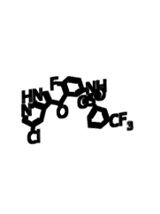 O=C(c1cc(NS(=O)(=O)c2cccc(C(F)(F)F)c2)ccc1F)c1c[nH]c2ncc(Cl)cc12